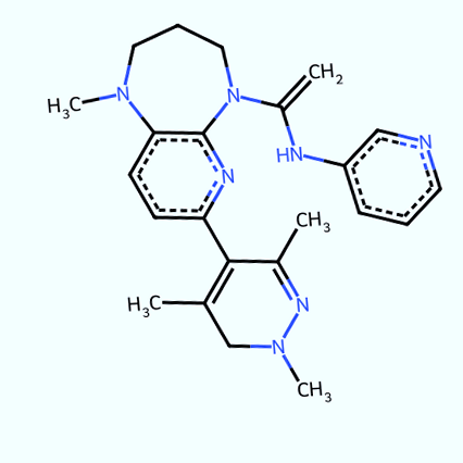 C=C(Nc1cccnc1)N1CCCN(C)c2ccc(C3=C(C)CN(C)N=C3C)nc21